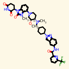 CO[C@@H]1CN(c2cccc3c2n(C)c(=O)n3C2CCC(=O)NC2=O)CC[C@@H]1N(C)C[C@H]1CC[C@H](n2cc3cc(NC(=O)c4cccc(C(F)(F)F)n4)ccc3n2)CC1